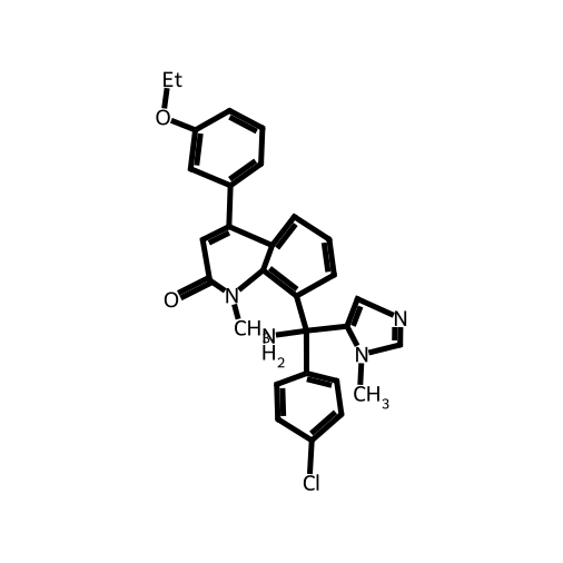 CCOc1cccc(-c2cc(=O)n(C)c3c(C(N)(c4ccc(Cl)cc4)c4cncn4C)cccc23)c1